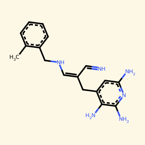 Cc1ccccc1CN/C=C(\C=N)Cc1cc(N)nc(N)c1N